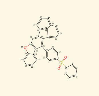 O=S(=O)(c1ccccc1)c1ccc(-c2c3c(cc4oc5ccccc5c24)-c2cccc4cccc-3c24)cc1